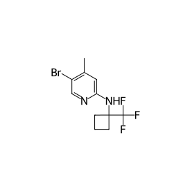 Cc1cc(NC2(C(F)(F)F)CCC2)ncc1Br